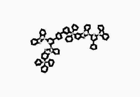 c1ccc(-c2cc(-n3c4ccccc4c4ccccc43)nc(-n3c4ccccc4n4c5cc([Si](c6ccccc6)(c6ccccc6)c6cccc(-c7ccc(-c8cc(-n9c%10ccccc%10n%10c%11ccccc%11nc9%10)nc(-n9c%10ccccc%10n%10c%11cc([Si](c%12ccccc%12)(c%12ccccc%12)c%12ccccc%12)ccc%11nc9%10)c8)cc7)c6)ccc5nc34)c2)cc1